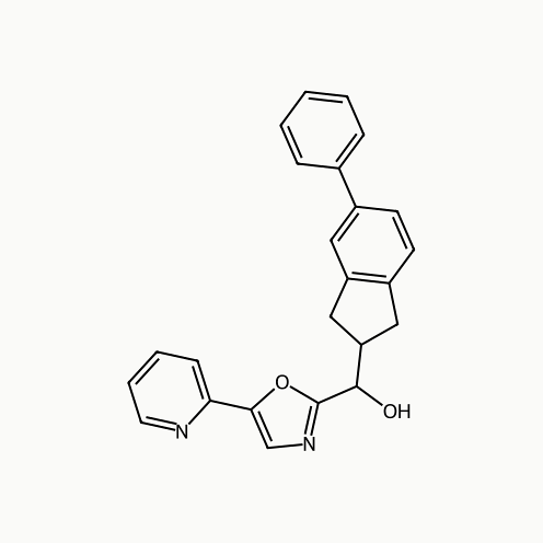 OC(c1ncc(-c2ccccn2)o1)C1Cc2ccc(-c3ccccc3)cc2C1